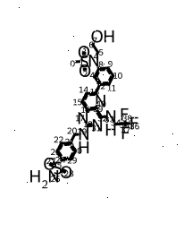 CS(=O)(=O)N(CCO)c1cccc(-c2ccc3nc(NCc4ccc(S(N)(=O)=O)cc4)nc(NCC(F)(F)F)c3n2)c1